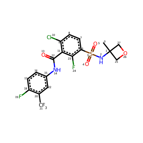 CC1(NS(=O)(=O)c2ccc(Cl)c(C(=O)Nc3ccc(F)c(C(F)(F)F)c3)c2F)COC1